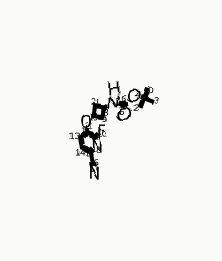 CC(C)(C)OC(=O)NC1CC(Oc2ccc(C#N)nc2F)C1